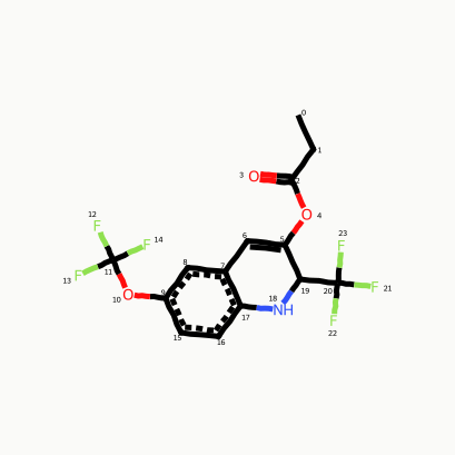 CCC(=O)OC1=Cc2cc(OC(F)(F)F)ccc2NC1C(F)(F)F